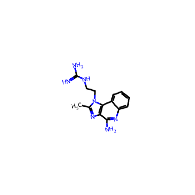 Cc1nc2c(N)nc3ccccc3c2n1CCNC(=N)N